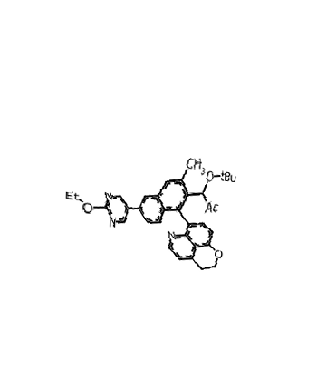 CCOc1ncc(-c2ccc3c(-c4ccc5c6c(ccnc46)CCO5)c(C(OC(C)(C)C)C(C)=O)c(C)cc3c2)cn1